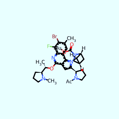 CC(=O)N1CCC[C@@H]1c1cc2c(O[C@@H](C)[C@@H]3CCCN3C)nc3c(F)c(Br)c(C)cc3c2n1[C@H]1[C@@H]2C[C@H]1N(C(=O)OC(C)(C)C)C2